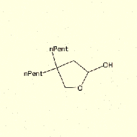 CCCCCC1(CCCCC)COC(O)C1